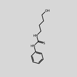 OCCCCNC(=S)Nc1ccccc1